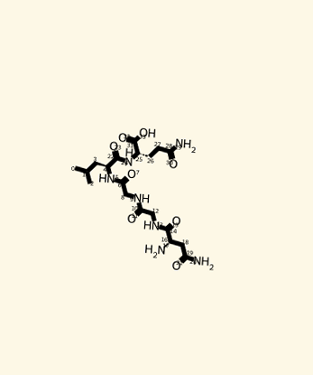 CC(C)C[C@H](NC(=O)CNC(=O)CNC(=O)[C@@H](N)CC(N)=O)C(=O)N[C@@H](CCC(N)=O)C(=O)O